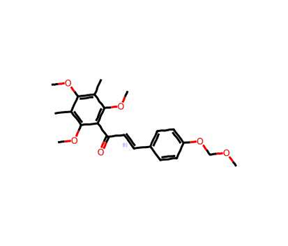 COCOc1ccc(/C=C/C(=O)c2c(OC)c(C)c(OC)c(C)c2OC)cc1